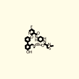 CC1=NC(C(=O)N[C@H]2CC[C@@H](NC(=O)c3cc(F)cnc3Oc3cccc(-c4ccc(O)cc4CN(C)C(C)(C)C)c3)CC2)CS1